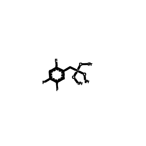 CC(C)O[Si](Cc1cc(F)c(F)cc1F)(OC(C)C)OC(C)C